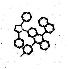 Cc1ccc(-c2c3ccccc3c(-c3cccc4ccccc34)c3ccc(N4C(c5ccccc5)=CCC4c4ccccc4)cc23)cc1